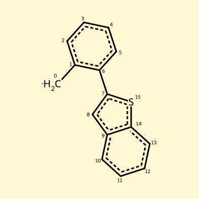 [CH2]c1ccccc1-c1cc2ccccc2s1